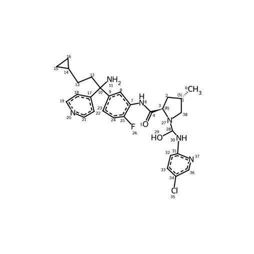 C[C@H]1C[C@H](C(=O)Nc2cc(C(N)(CCC3CC3)c3ccncc3)ccc2F)N(C(O)Nc2ccc(Cl)cn2)C1